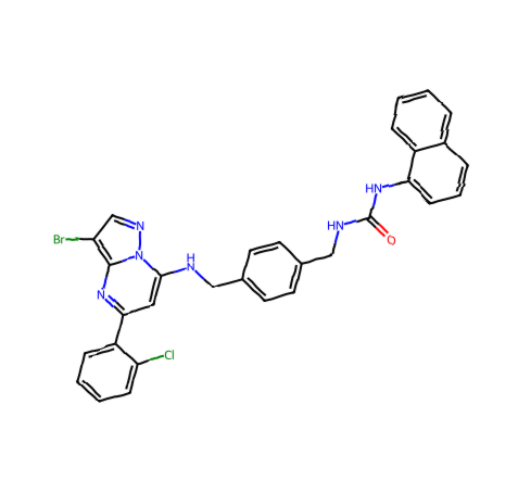 O=C(NCc1ccc(CNc2cc(-c3ccccc3Cl)nc3c(Br)cnn23)cc1)Nc1cccc2ccccc12